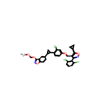 COCOc1noc2ccc(C3CC3c3ccc(OCc4c(-c5c(Cl)cccc5Cl)noc4C4CC4)cc3Cl)cc12